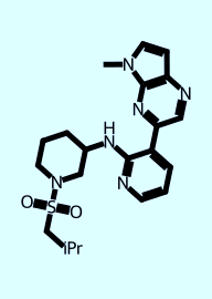 CC(C)CS(=O)(=O)N1CCCC(Nc2ncccc2-c2cnc3ccn(C)c3n2)C1